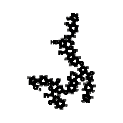 Cc1ncsc1-c1ccc(CNC(=O)[C@@H]2C[C@@H](O)CN2C(=O)[C@H](C(C)C)N2Cc3ccc(O[C@@H]4C[C@@H](C(=O)NCc5ccc(-c6cncs6)cc5)N(C(=O)[C@H](C(C)C)N5Cc6ccc(O[C@@H]7C[C@@H](C(=O)NCc8ccc(-c9scnc9C(F)(F)F)cc8)N(C(=O)[C@H](C(C)C)N8Cc9ccccc9C8=O)C7)cc6C5=O)C4)cc3C2=O)cc1F